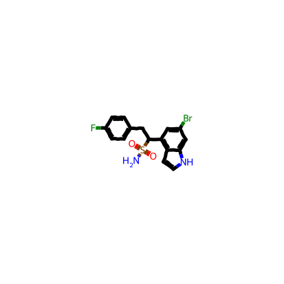 NS(=O)(=O)C(Cc1ccc(F)cc1)c1cc(Br)cc2[nH]ccc12